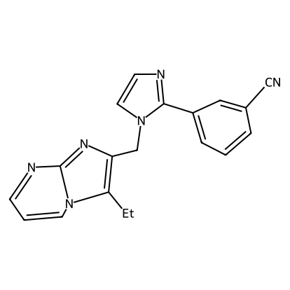 CCc1c(Cn2ccnc2-c2cccc(C#N)c2)nc2ncccn12